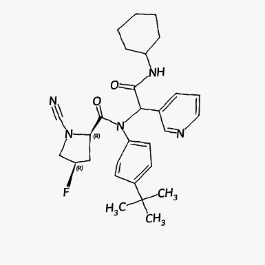 CC(C)(C)c1ccc(N(C(=O)[C@H]2C[C@@H](F)CN2C#N)C(C(=O)NC2CCCCC2)c2cccnc2)cc1